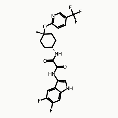 C[C@]1(Oc2ccc(C(F)(F)F)cn2)CC[C@@H](NC(=O)C(=O)Nc2c[nH]c3cc(F)c(F)cc23)CC1